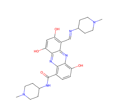 CN1CCC(/N=C/c2c(O)cc(O)c3nc4c(C(=O)NC5CCN(C)CC5)ccc(O)c4nc23)CC1